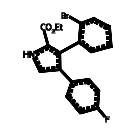 CCOC(=O)c1[nH]cc(-c2ccc(F)cc2)c1-c1ccccc1Br